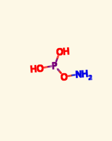 NOP(O)O